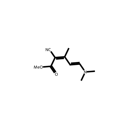 COC(=O)/C(C#N)=C(C)\C=C\N(C)C